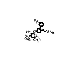 CO[C@@H]1[C@@H](O)[C@@H](O)C(Oc2ccc(CCNC(C)=O)c(-c3cccc(C(F)(F)F)c3)c2)OC1(C)C